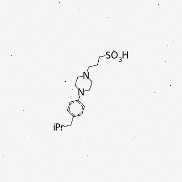 CC(C)Cc1ccc(N2CCN(CCCS(=O)(=O)O)CC2)cc1